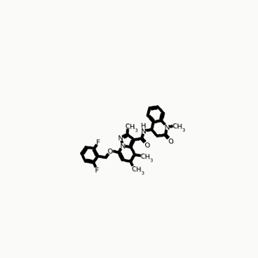 Cc1nn2c(c1C(=O)NC1CC(=O)N(C)c3ccccc31)C(C)C(C)C=C2OCc1c(F)cccc1F